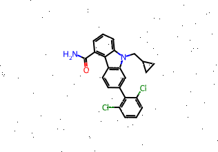 NC(=O)c1cccc2c1c1[c]cc(-c3c(Cl)cccc3Cl)cc1n2CC1CC1